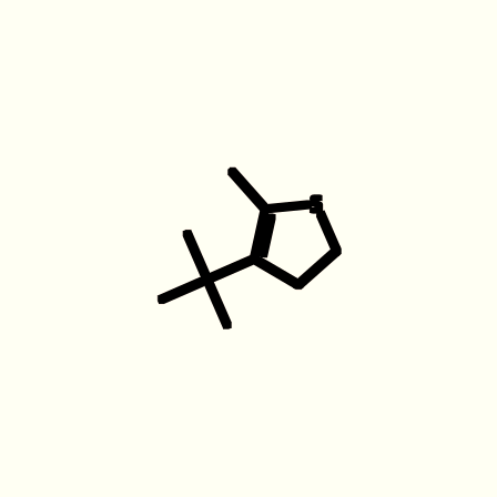 CC1=C(C(C)(C)C)CCS1